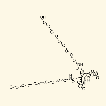 O=C(CCCNC(=O)C(NC(=O)CN1C(=O)C=CC1=O)C(NC(=O)CN1C(=O)C=CC1=O)C(=O)NCCCC(=O)NCCOCCOCCOCCOCCOCCOCCOCCOCCOCCO)NCCOCCOCCOCCOCCOCCOCCOCCOCCOCCO